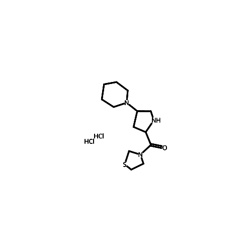 Cl.Cl.O=C(C1CC(N2CCCCC2)CN1)N1CCSC1